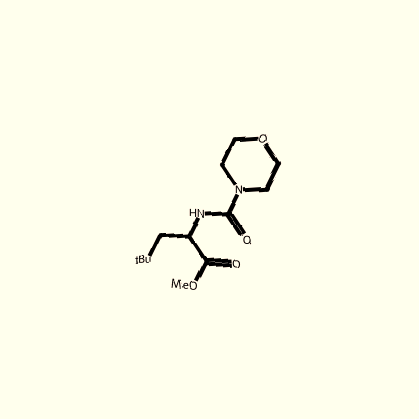 COC(=O)C(CC(C)(C)C)NC(=O)N1CCOCC1